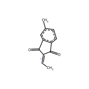 C/C=C1\C(=O)c2ccc(C)cc2C1=O